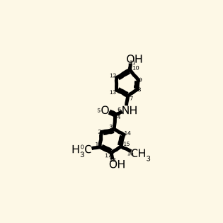 Cc1cc(C(=O)Nc2ccc(O)cc2)cc(C)c1O